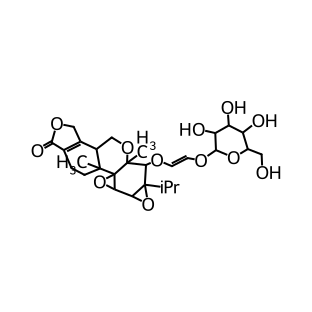 CC(C)C12OC1C1OC13C1(C)CCC4=C(COC4=O)C1COC3(C)C2OC=COC1OC(CO)C(O)C(O)C1O